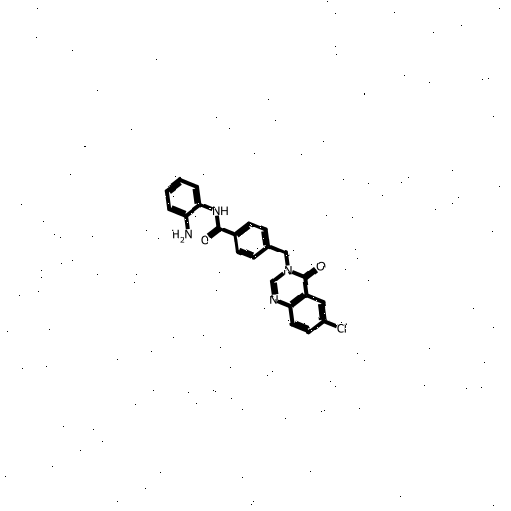 Nc1ccccc1NC(=O)c1ccc(Cn2cnc3ccc(Cl)cc3c2=O)cc1